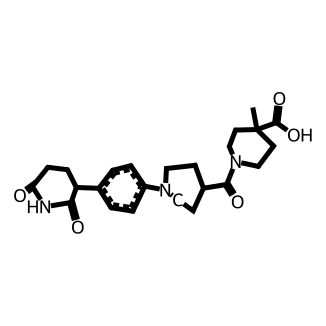 CC1(C(=O)O)CCN(C(=O)C2CCN(c3ccc(C4CCC(=O)NC4=O)cc3)CC2)CC1